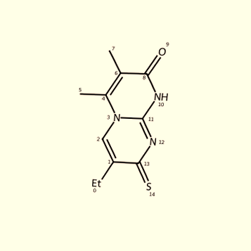 CCc1cn2c(C)c(C)c(=O)[nH]c2nc1=S